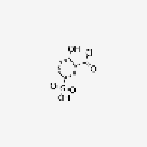 O=C(Cl)c1cc(S(=O)(=O)O)ccc1O